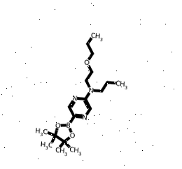 CCCOCCN(CCC)c1cnc(B2OC(C)(C)C(C)(C)O2)cn1